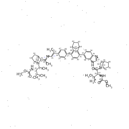 COC(=O)N[C@@H](C(C)C)C(C)N1C2CCC(C2)[C@H]1/C(C)=N/C=C(\C)c1ccc(-c2ccc(-c3ccc4nc([C@@H]5C6CCC(C6)N5C(=O)[C@@H](NC(=O)OC)C(C)C)[nH]c4c3)c3c2C2CCC3C2)cc1